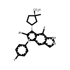 CC(C)c1c([C@@H]2CC[C@@](C)(C(=O)O)C2)c2c(F)c3[nH]ncc3cc2n1-c1ccc(F)cc1